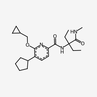 CCC(CC)(NC(=O)c1ccc(C2CCCC2)c(OCC2CC2)n1)C(=O)NC